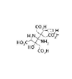 NC(N)(C(O)(CC(=O)O)CC(=O)O)C(CC(=O)O)(CC(=O)O)CC(=O)O